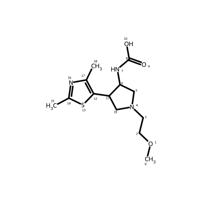 COCCN1CC(NC(=O)O)C(c2sc(C)nc2C)C1